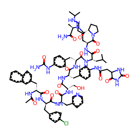 CC(=O)N[C@H](Cc1ccc2ccccc2c1)C(=O)N[C@H](Cc1ccc(Cl)cc1)C(=O)N[C@H](Cc1cccnc1)C(=O)N[C@@H](CO)C(=O)N[C@@H](Cc1ccc(NC(=O)CC2NC(=O)NC2=O)cc1)C(=O)N[C@H](Cc1ccc(NC(N)=O)cc1)C(=O)N[C@@H](CC(C)C)C(=O)N[C@@H](CCCCNC(C)C)C(=O)N1CCC[C@H]1C(=O)N[C@H](C)C(N)=O